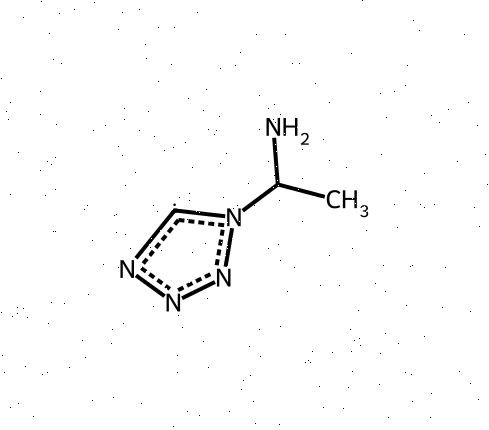 CC(N)n1[c]nnn1